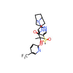 CC(C)(Oc1ccc(C(F)(F)F)cn1)C(=O)NC1CC2CCC(C1)N2c1ccc(S(C)(=O)=O)cn1